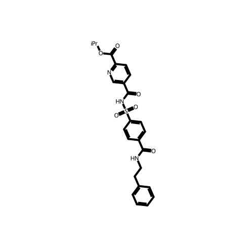 CC(C)OC(=O)c1ccc(C(=O)NS(=O)(=O)c2ccc(C(=O)NCCc3ccccc3)cc2)cn1